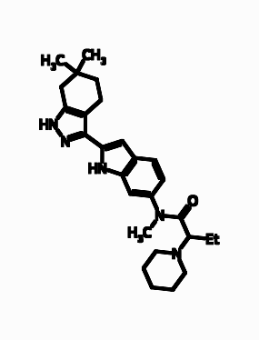 CCC(C(=O)N(C)c1ccc2cc(-c3n[nH]c4c3CCC(C)(C)C4)[nH]c2c1)N1CCCCC1